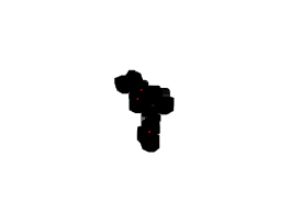 C1=CC2c3ccccc3C=CC2C=C1c1nc(-c2ccccc2)nc(-c2cccc3oc4ccc(-c5cccc6c5oc5ccc7ccccc7c56)cc4c23)n1